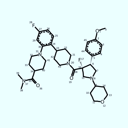 COc1ccc([C@@H]2CN(C3CCOCC3)C[C@@]2(F)C(=O)N2CCC(c3ccc(F)cc3N3CCC(C(=O)N(C)C)CC3)CC2)cc1